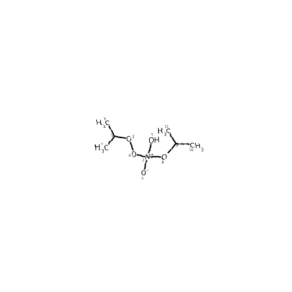 CC(C)OO[N+]([O-])(O)OC(C)C